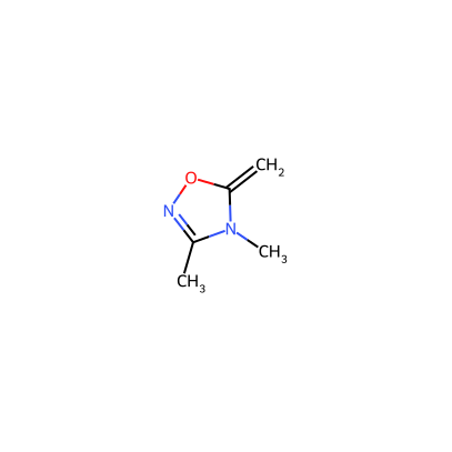 C=C1ON=C(C)N1C